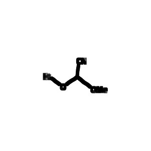 [CH2]OC(C#N)OCC